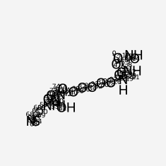 CCOC(=O)/C=C/[C@H](C[C@@H]1CCNC1=O)NC(=O)[C@H](CC(C)C)NC(=O)CCOCCOCCOCCOCCOCCC(=O)N[C@H](C(=O)N1C[C@H](O)C[C@H]1C(=O)NCc1ccc(-c2scnc2C)cc1)C(C)(C)C